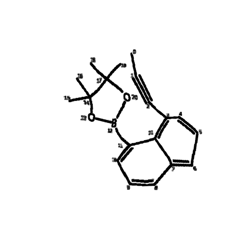 CC#Cc1cccc2cccc(B3OC(C)(C)C(C)(C)O3)c12